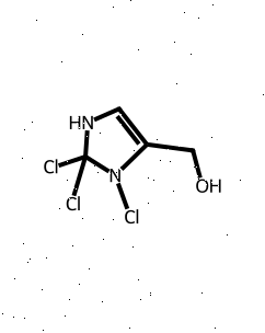 OCC1=CNC(Cl)(Cl)N1Cl